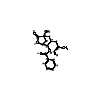 C=C(C)CC1CC2(O)CC(OC2=O)C1OC(=O)c1ccccc1